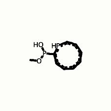 COP(O)c1ccccccc[pH]1